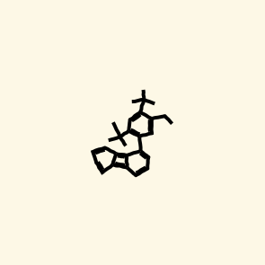 CCc1cc(-c2cccc3c2=c2ccccc2=3)c(C(C)(C)C)cc1C(C)(C)C